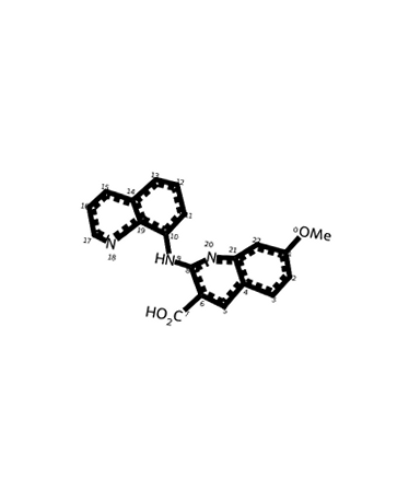 COc1ccc2cc(C(=O)O)c(Nc3cccc4cccnc34)nc2c1